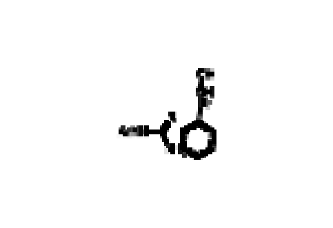 CC(=O)NC(N)=S.CC(C)c1ccccc1.OO